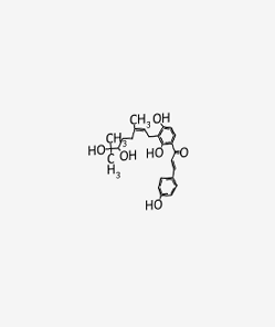 CC(=CCc1c(O)ccc(C(=O)C=Cc2ccc(O)cc2)c1O)CCC(O)C(C)(C)O